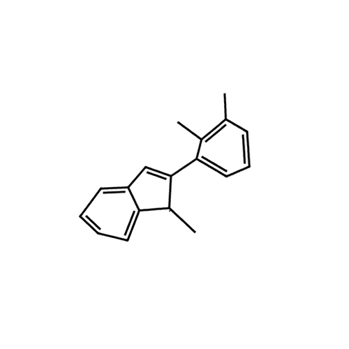 C[C]1C(c2cccc(C)c2C)=Cc2ccccc21